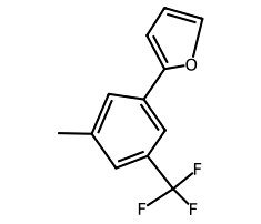 Cc1cc(-c2ccco2)cc(C(F)(F)F)c1